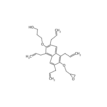 C=CCc1cc2c(CC=C)c(OCC3CO3)c(CC=C)cc2c(CC=C)c1OCCCO